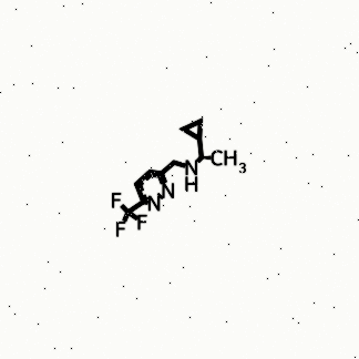 C[C@@H](NCc1ccc(C(F)(F)F)nn1)C1CC1